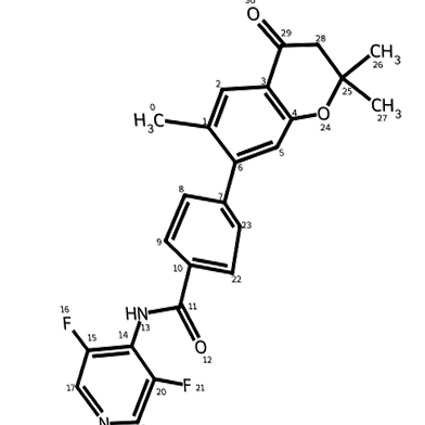 Cc1cc2c(cc1-c1ccc(C(=O)Nc3c(F)cncc3F)cc1)OC(C)(C)CC2=O